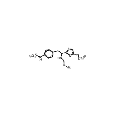 CCOC(=O)Cc1csc([C@H](Cc2ccc(NS(=O)(=O)O)cc2)NCOC(C)(C)C)n1